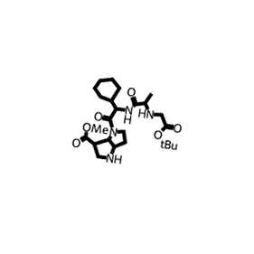 COC(=O)C1CNC2CCN(C(=O)C(NC(=O)C(C)NCC(=O)OC(C)(C)C)C3CCCCC3)C21